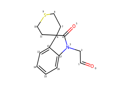 O=CCN1C(=O)C2(CCSCC2)c2ccccc21